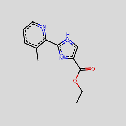 CCOC(=O)c1c[nH]c(-c2ncccc2C)n1